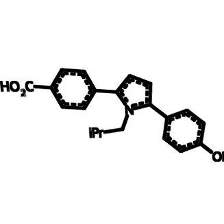 CC(C)Cn1c(-c2ccc(O)cc2)ccc1-c1ccc(C(=O)O)cc1